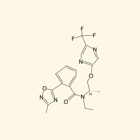 CCN(C(=O)c1ccccc1-c1nc(C)no1)[C@@H](C)COc1cnc(C(F)(F)F)cn1